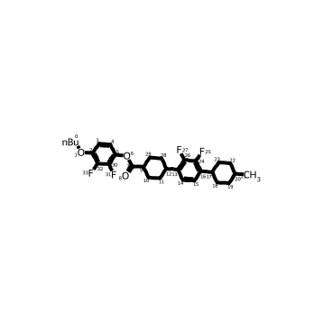 CCCCOc1ccc(OC(=O)C2CCC(c3ccc(C4CCC(C)CC4)c(F)c3F)CC2)c(F)c1F